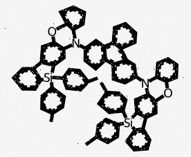 Cc1ccc([Si]2(c3ccc(C)cc3)c3ccccc3-c3cc4c(cc32)N(c2ccc3c5ccc(N6c7ccccc7Oc7cc8c(cc76)[Si](c6ccc(C)cc6)(c6ccc(C)cc6)c6ccccc6-8)cc5c5ccccc5c3c2)c2ccccc2O4)cc1